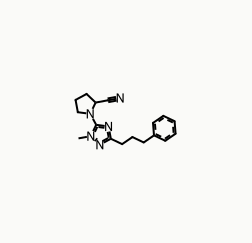 Cn1nc(CCCc2ccccc2)nc1N1CCCC1C#N